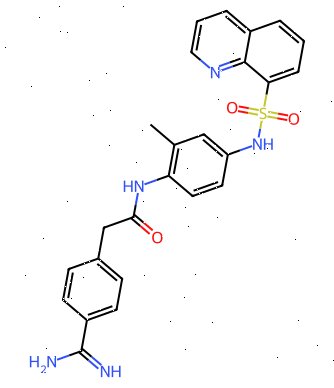 Cc1cc(NS(=O)(=O)c2cccc3cccnc23)ccc1NC(=O)Cc1ccc(C(=N)N)cc1